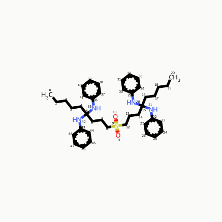 CCCCCC(CCCS(=O)(=O)CCCC(CCCCC)(Nc1ccccc1)Nc1ccccc1)(Nc1ccccc1)Nc1ccccc1